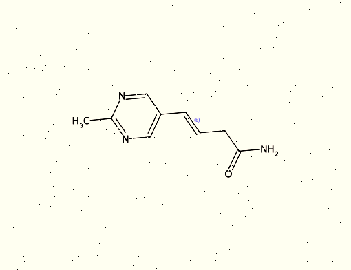 Cc1ncc(/C=C/CC(N)=O)cn1